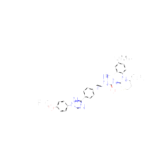 COc1ccc(N2/C(=N/C(=O)N/C=C/c3ccc(-c4ncn(-c5ccc(OC(F)(F)F)cc5)n4)cc3)SCCC2C)c(C(C)C)c1